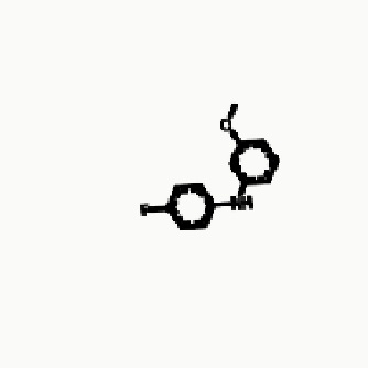 COc1cccc(Nc2ccc(F)cc2)c1